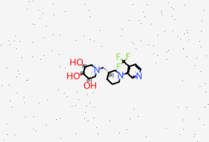 O[C@H]1[C@H](O)CN(C[C@H]2CCCN(c3cnccc3C(F)(F)F)C2)C[C@@H]1O